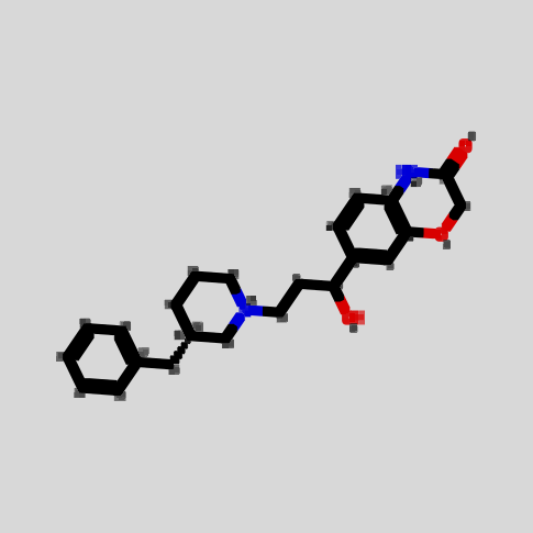 O=C1COc2cc(C(O)CCN3CCC[C@@H](Cc4ccccc4)C3)ccc2N1